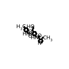 CCc1ccncc1C(=O)Nc1ccc(CCO)c(S(=O)(=O)Nc2ccc(C)cc2)c1